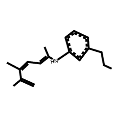 C=C(C)/C(C)=C\C=C(/C)Nc1cccc(CCC)c1